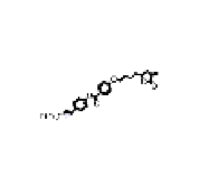 C=C1CC(CCCCOc2ccc(C(=O)Oc3ccc(/C=C/C(=O)OCC)cc3)cc2)OC1=O